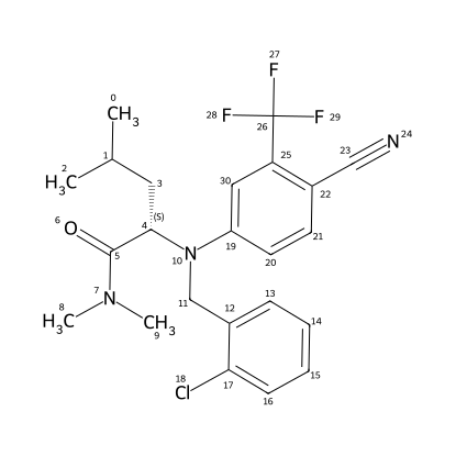 CC(C)C[C@@H](C(=O)N(C)C)N(Cc1ccccc1Cl)c1ccc(C#N)c(C(F)(F)F)c1